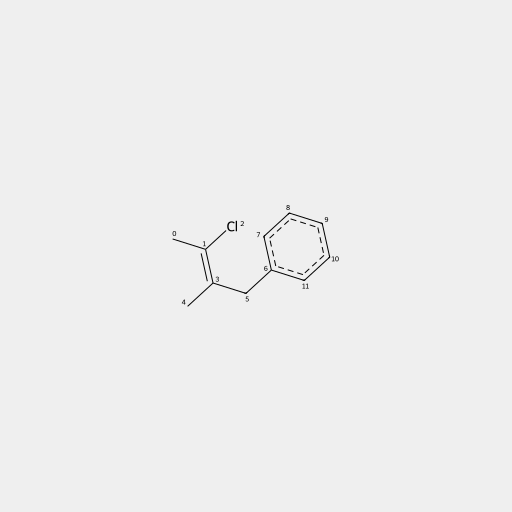 CC(Cl)=C(C)Cc1ccccc1